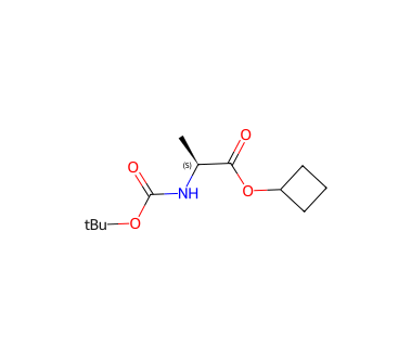 C[C@H](NC(=O)OC(C)(C)C)C(=O)OC1CCC1